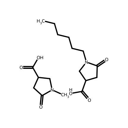 CCCCCCN1CC(C(=O)O)CC1=O.CN1CC(C(=O)O)CC1=O